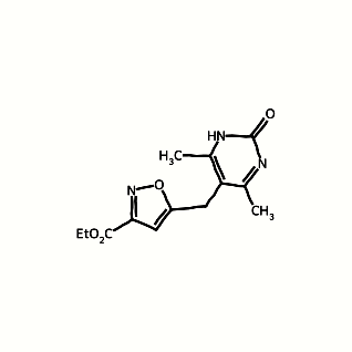 CCOC(=O)c1cc(Cc2c(C)nc(=O)[nH]c2C)on1